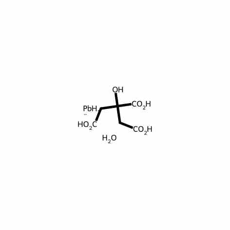 O.O=C(O)CC(O)(CC(=O)O)C(=O)O.[PbH2]